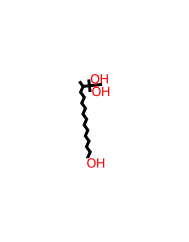 CC(CCCCCCCCCCCCCO)C(C)(C)C(C)(O)O